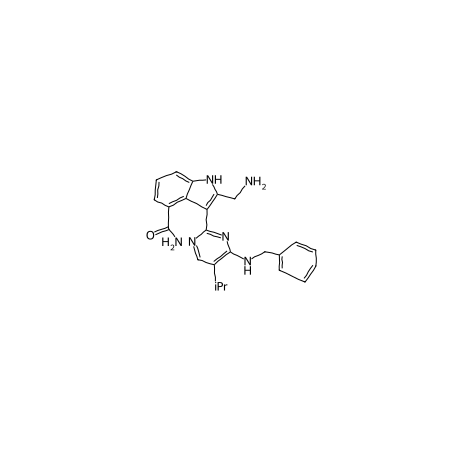 CC(C)c1cnc(-c2c(CN)[nH]c3cccc(C(N)=O)c23)nc1NCc1ccccc1